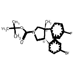 CC(C)(C)OC(=O)N1C[C@@H](c2ccc(Br)cc2)[C@@](C)(c2ccc(F)cc2)C1